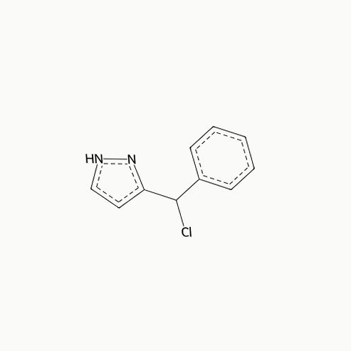 ClC(c1ccccc1)c1cc[nH]n1